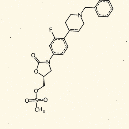 CS(=O)(=O)OC[C@@H]1CN(c2ccc(C3=CCN(Cc4ccccc4)CC3)c(F)c2)C(=O)O1